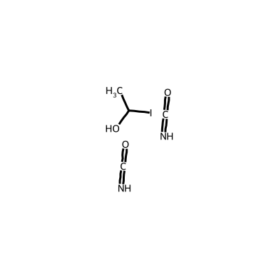 CC(O)I.N=C=O.N=C=O